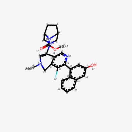 CNN1C=C(N2CC3CCC(C2)N3C(=O)OC(C)(C)C)c2cnc(-c3cc(O)cc4ccccc34)c(F)c2C1